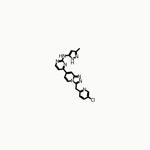 Cc1cc(Nc2nccc(-c3ccn4c(Cc5ccc(Cl)cn5)nnc4c3)n2)[nH]n1